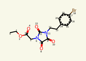 CCOC(=O)CN1C(=O)C(=O)N(CCc2ccc(Br)cc2)C1=O